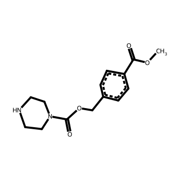 COC(=O)c1ccc(COC(=O)N2CCNCC2)cc1